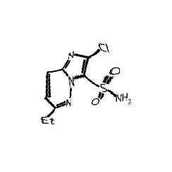 CCc1ccc2nc(Cl)c(S(N)(=O)=O)n2n1